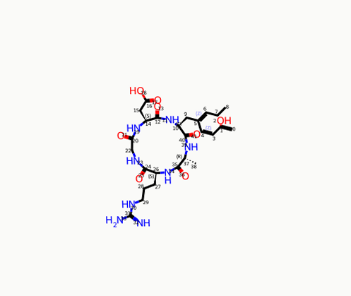 C=C(O)/C=C\C(=C/CC)C[C@@H]1NC(=O)[C@H](CC(=O)O)NC(=O)CNC(=O)[C@H](CCCNC(=N)N)NC(=O)[C@@H](C)NC1=O